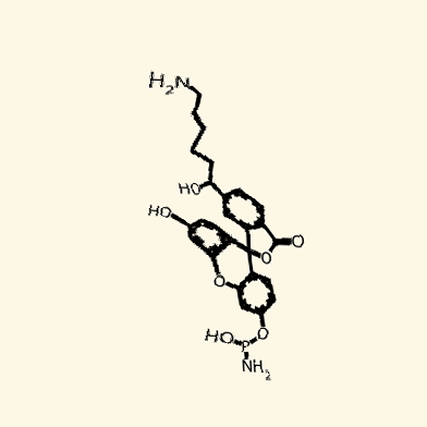 NCCCCCC(O)c1ccc2c(c1)C1(OC2=O)c2ccc(O)cc2Oc2cc(OP(N)O)ccc21